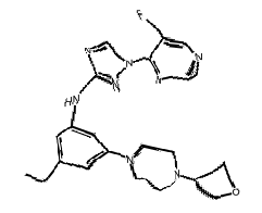 CCc1cc(Nc2ncn(-c3ncncc3F)n2)cc(N2CCN(C3COC3)CC2)c1